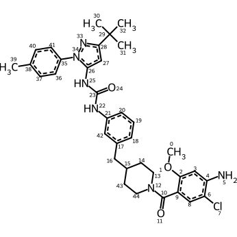 COc1cc(N)c(Cl)cc1C(=O)N1CCC(Cc2cccc(NC(=O)Nc3cc(C(C)(C)C)nn3-c3ccc(C)cc3)c2)CC1